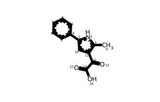 Cc1[nH]c(-c2ccccc2)cc1C(=O)C(=O)O